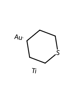 C1CCSCC1.[Au].[Ti]